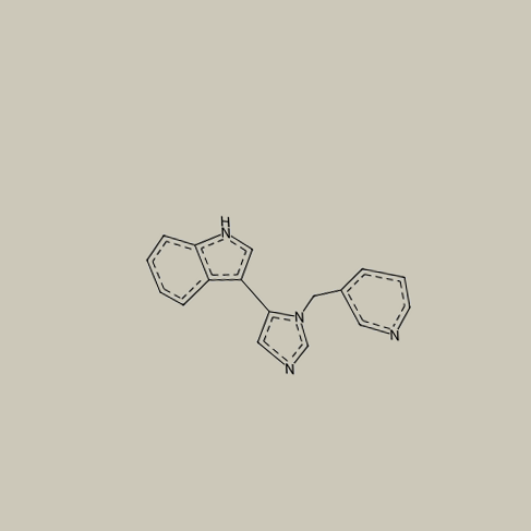 c1cncc(Cn2cncc2-c2c[nH]c3ccccc23)c1